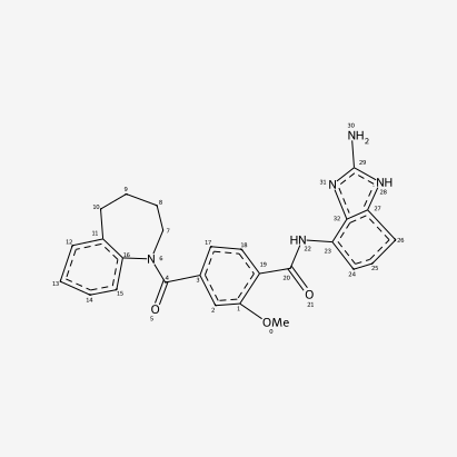 COc1cc(C(=O)N2CCCCc3ccccc32)ccc1C(=O)Nc1cccc2[nH]c(N)nc12